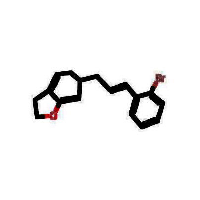 Brc1ccccc1C=CCC1C=C2OCCC2=CC1